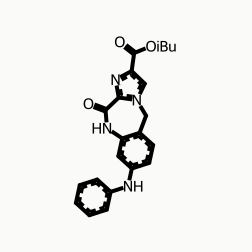 CC(C)COC(=O)c1cn2c(n1)C(=O)Nc1cc(Nc3ccccc3)ccc1C2